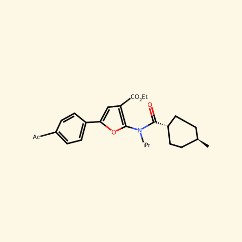 CCOC(=O)c1cc(-c2ccc(C(C)=O)cc2)oc1N(C(=O)[C@H]1CC[C@H](C)CC1)C(C)C